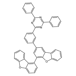 c1ccc(-c2nc(-c3ccccc3)nc(-c3cccc(-c4cc(-c5cccc6oc7ccccc7c56)c5oc6ccccc6c5c4)c3)n2)cc1